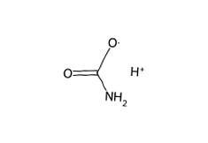 NC([O])=O.[H+]